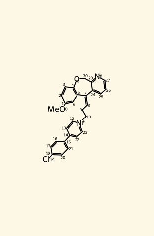 COc1ccc2c(c1)C(=CCC[n+]1ccc(-c3ccc(Cl)cc3)cc1)c1cccnc1CO2